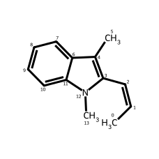 C/C=C\c1c(C)c2ccccc2n1C